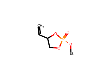 C=CC1CO[P@@](=O)(OCC)O1